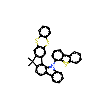 CC1(C)c2cc3c(cc2-c2c1ccc1c4ccccc4n(-c4cccc5c4sc4ccccc45)c21)Sc1ccccc1S3